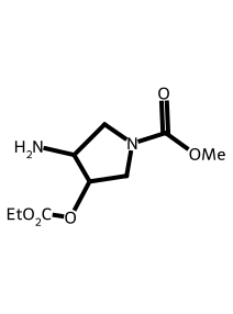 CCOC(=O)OC1CN(C(=O)OC)CC1N